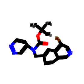 CC(C)(C)OC(=O)N(Cc1ccc2cncc(Br)c2c1)c1ccnnc1